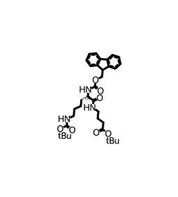 CC(C)(C)OC(=O)CCCNC(=O)[C@H](CCCCNC(=O)OC(C)(C)C)NC(=O)OCC1c2ccccc2-c2ccccc21